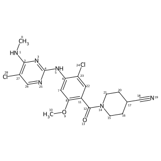 CNc1nc(Nc2cc(OC)c(C(=O)N3CCC(C#N)CC3)cc2Cl)ncc1Cl